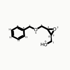 OC[C@@H]1OC1COCc1ccccc1